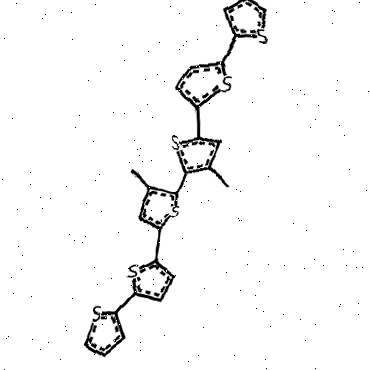 Cc1cc(-c2ccc(-c3cccs3)s2)sc1-c1sc(-c2ccc(-c3cccs3)s2)cc1C